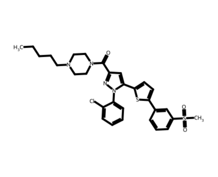 CCCCCN1CCN(C(=O)c2cc(-c3ccc(-c4cccc(S(C)(=O)=O)c4)s3)n(-c3ccccc3Cl)n2)CC1